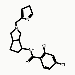 O=C(NC1CCC2CN(CC3=CCC=N3)CC21)c1ccc(Cl)cc1Cl